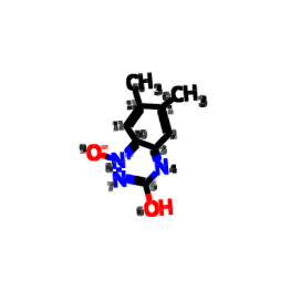 Cc1cc2nc(O)n[n+]([O-])c2cc1C